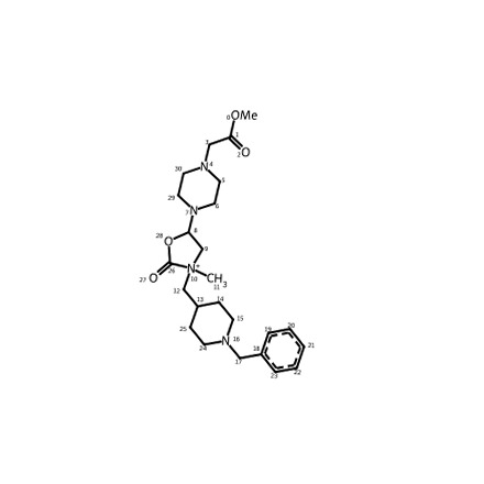 COC(=O)CN1CCN(C2C[N+](C)(CC3CCN(Cc4ccccc4)CC3)C(=O)O2)CC1